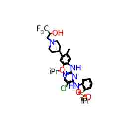 Cc1cc(Nc2ncc(Cl)c(Nc3ccccc3S(=O)(=O)C(C)C)n2)c(OC(C)C)cc1C1CCN(C[C@H](O)C(F)(F)F)CC1